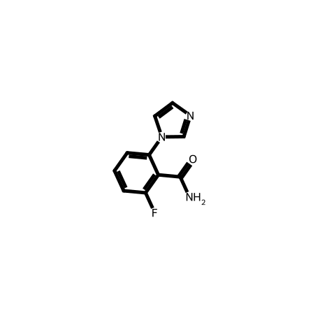 NC(=O)c1c(F)cccc1-n1ccnc1